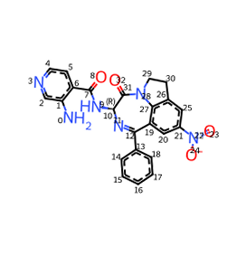 Nc1cnccc1C(=O)N[C@@H]1N=C(c2ccccc2)c2cc([N+](=O)[O-])cc3c2N(CC3)C1=O